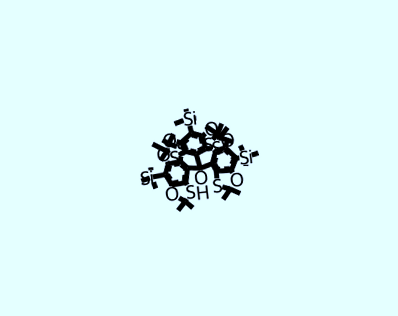 CC1(C)Oc2c(c(C(O)(c3c4c(c([Si](C)(C)C)c5c3SC(C)(C)O5)OC(C)(C)S4)c3c4c(c([Si](C)(C)C)c5c3SC(C)(C)O5)OC(C)(C)S4)c3c(c2[Si](C)(C)C)OC(C)(C)S3)S1